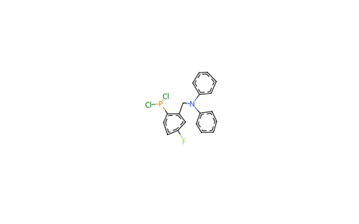 Fc1ccc(P(Cl)Cl)c(CN(c2ccccc2)c2ccccc2)c1